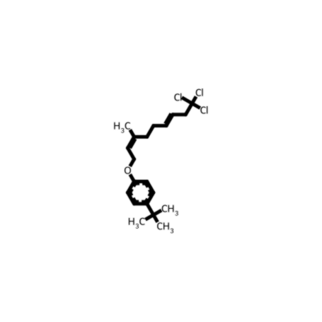 CC(=CCOc1ccc(C(C)(C)C)cc1)CCC=CCC(Cl)(Cl)Cl